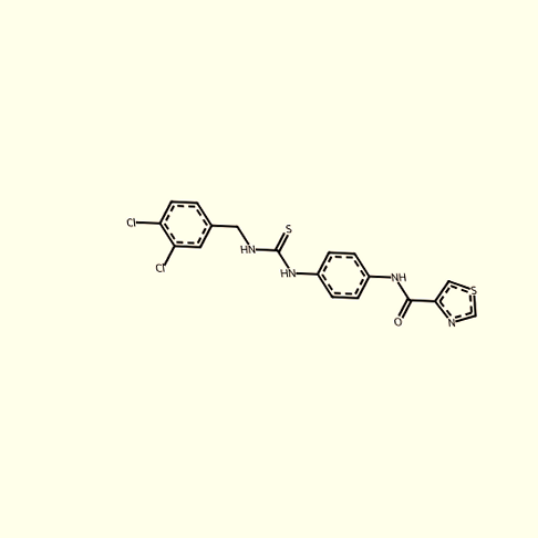 O=C(Nc1ccc(NC(=S)NCc2ccc(Cl)c(Cl)c2)cc1)c1cscn1